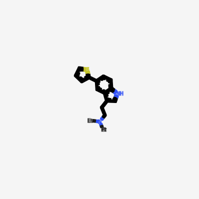 CCN(CC)CCc1c[nH]c2ccc(-c3cccs3)cc12